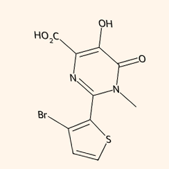 Cn1c(-c2sccc2Br)nc(C(=O)O)c(O)c1=O